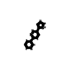 c1ccc(-c2ccc(-c3cccs3)cn2)cc1